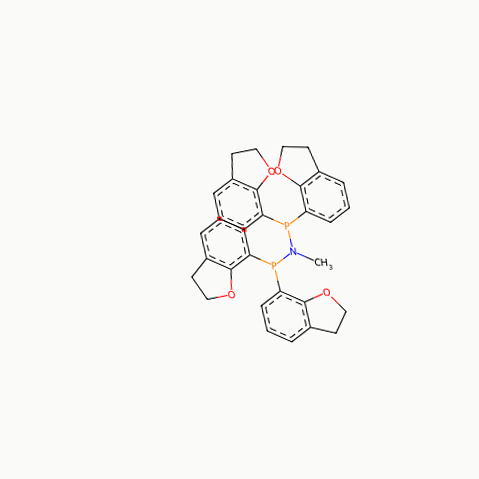 CN(P(c1cccc2c1OCC2)c1cccc2c1OCC2)P(c1cccc2c1OCC2)c1cccc2c1OCC2